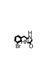 O=C1CNC(Cc2cccc(Br)c2)N1